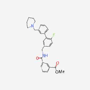 COC(=O)c1cccc(C(=O)NCc2ccc(F)c(-c3cccc(CN4CCCCC4)c3)c2)c1